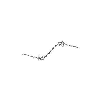 CCCCCCCCCCCCCCCC(=O)O[C@@H]1CC(C)=C(/C=C/C(C)=C/C=C/C(C)=C/C=C/C=C(C)/C=C/C=C(C)/C=C/[C@H]2C(C)=C[C@H](OC(=O)CCCCCCCCCCCCCCC)CC2(C)C)C(C)(C)C1